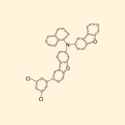 Clc1cc(Cl)cc(-c2ccc3oc4cc(N(c5ccc6oc7ccccc7c6c5)c5cccc6ccccc56)ccc4c3c2)c1